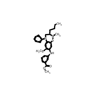 CCCCC1CN(c2ccccc2)c2cc(SC)c(Nc3cccc(C(=O)OC)c3)cc2SN1C